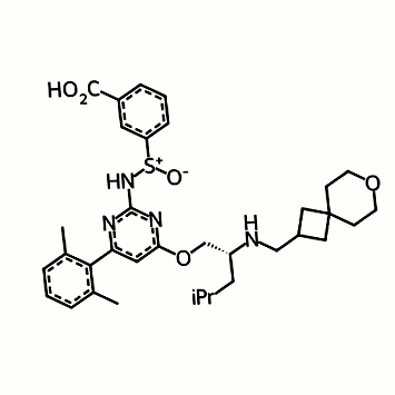 Cc1cccc(C)c1-c1cc(OC[C@@H](CC(C)C)NCC2CC3(CCOCC3)C2)nc(N[S+]([O-])c2cccc(C(=O)O)c2)n1